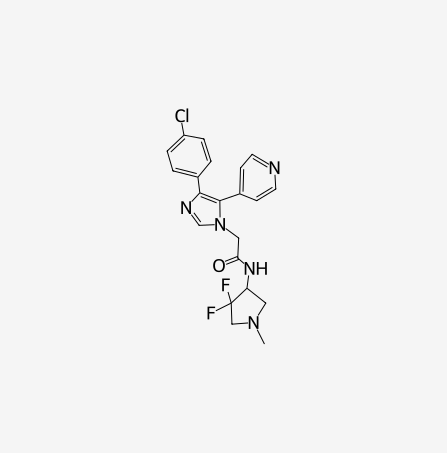 CN1CC(NC(=O)Cn2cnc(-c3ccc(Cl)cc3)c2-c2ccncc2)C(F)(F)C1